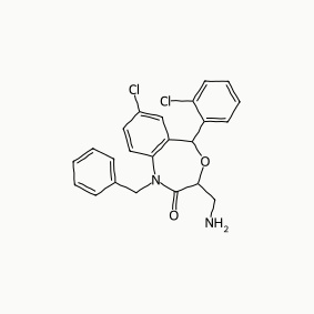 NCC1OC(c2ccccc2Cl)c2cc(Cl)ccc2N(Cc2ccccc2)C1=O